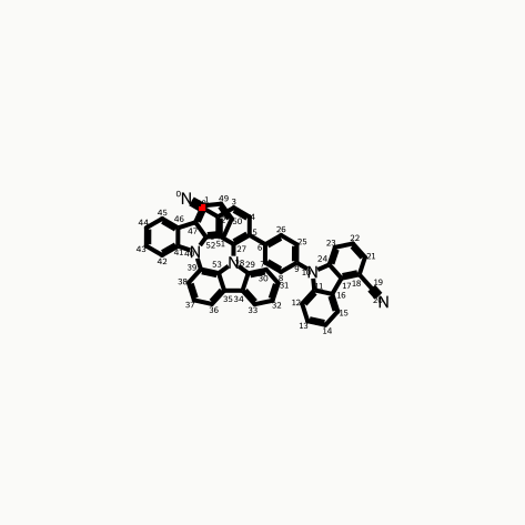 N#Cc1ccc(-c2ccc(-n3c4ccccc4c4c(C#N)cccc43)cc2)c(-n2c3ccccc3c3cccc(-n4c5ccccc5c5ccccc54)c32)c1